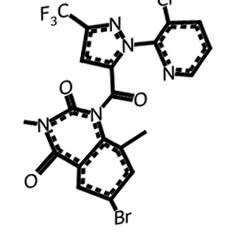 Cc1cc(Br)cc2c(=O)n(C)c(=O)n(C(=O)c3cc(C(F)(F)F)nn3-c3ncccc3Cl)c12